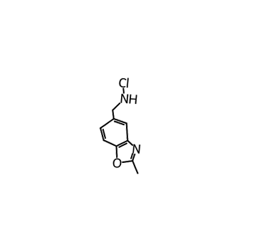 Cc1nc2cc(CNCl)ccc2o1